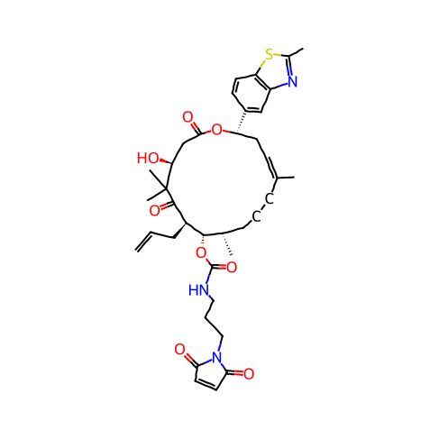 C=CC[C@H]1C(=O)C(C)(C)[C@@H](O)CC(=O)O[C@H](c2ccc3sc(C)nc3c2)C/C=C(/C)CCC[C@H](C)[C@@H]1OC(=O)NCCCN1C(=O)C=CC1=O